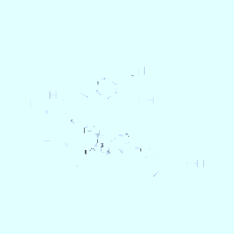 COc1ccc(C(=O)O[C@H]2[C@H](O[C@H]3[C@@H](O)COC(O[C@H]4CC5C6CC=C7C[C@@H](O)CC[C@]7(C)C6CC[C@]5(C)[C@@]4(O)C(C)C(=O)CCC(C)C)[C@@H]3OC(C)=O)OC[C@@H](O)[C@@H]2O)cc1